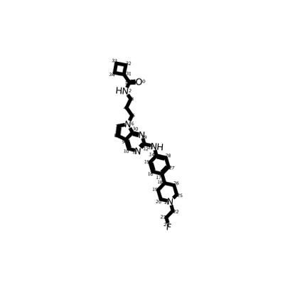 O=C(NCCCn1ccc2cnc(Nc3ccc(C4CCN(CCF)CC4)cc3)nc21)C1CCC1